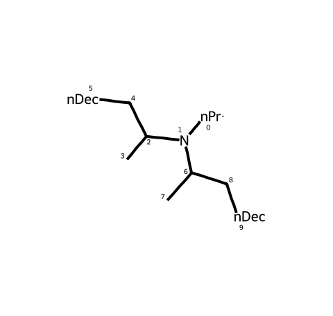 CC[CH]N(C(C)CCCCCCCCCCC)C(C)CCCCCCCCCCC